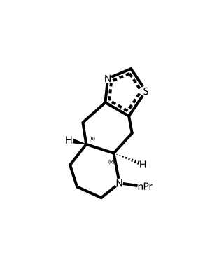 CCCN1CCC[C@@H]2Cc3ncsc3C[C@H]21